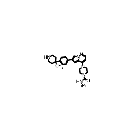 CC(C)NC(=O)N1CCN(c2ccnn3cc(-c4ccc(C5(C(F)(F)F)CCNCC5)cc4)cc23)CC1